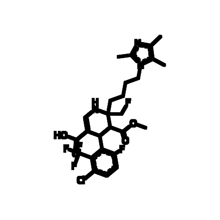 COC(=O)C1C(c2c(F)ccc(Cl)c2C(F)(F)F)C(C(=O)O)=CNC1(CF)CCCCn1c(C)nc(C)c1C